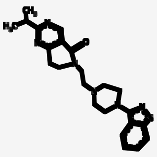 CC(C)c1ncc2c(n1)CCN(CCN1CCN(c3nsc4ccccc34)CC1)C2=O